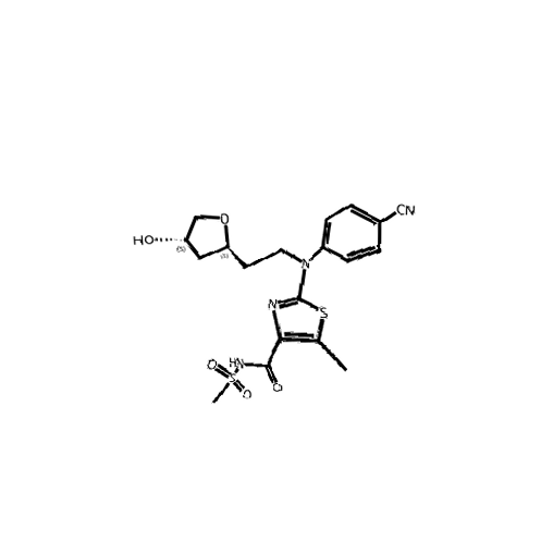 Cc1sc(N(CC[C@H]2C[C@H](O)CO2)c2ccc(C#N)cc2)nc1C(=O)NS(C)(=O)=O